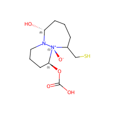 O=C(O)O[C@H]1CCCN2[C@H](O)CCCC(CS)[N@+]12[O-]